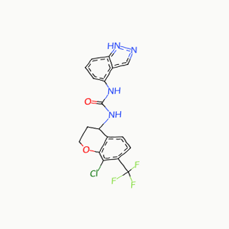 O=C(Nc1cccc2[nH]ncc12)NC1CCOc2c1ccc(C(F)(F)F)c2Cl